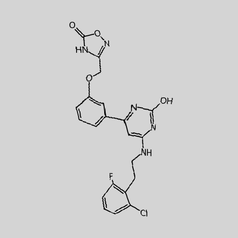 O=c1[nH]c(COc2cccc(-c3cc(NCCc4c(F)cccc4Cl)nc(O)n3)c2)no1